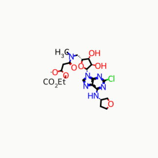 CCOC(=O)OC([O])CC(=O)N(C)C[C@H]1O[C@@H](n2cnc3c(N[C@H]4CCOC4)nc(Cl)nc32)[C@H](O)[C@@H]1O